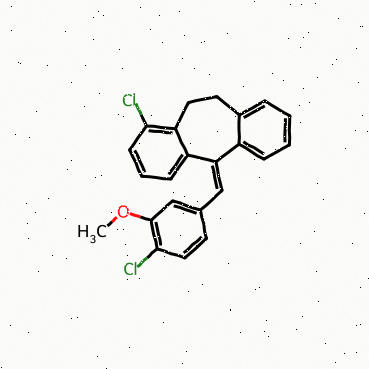 COc1cc(C=C2c3ccccc3CCc3c(Cl)cccc32)ccc1Cl